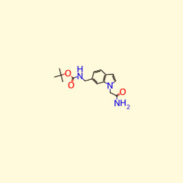 CC(C)(C)OC(=O)NCc1ccc2ccn(CC(N)=O)c2c1